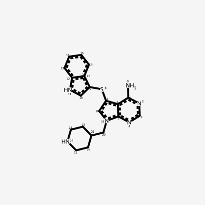 Nc1ncnc2c1c(Sc1c[nH]c3ccccc13)cn2CC1CCNCC1